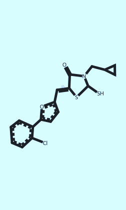 O=C1/C(=C/c2ccc(-c3ccccc3Cl)o2)SC(S)N1CC1CC1